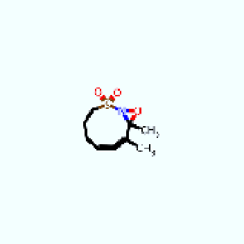 CC1=C=CCCCS(=O)(=O)N2OC12C